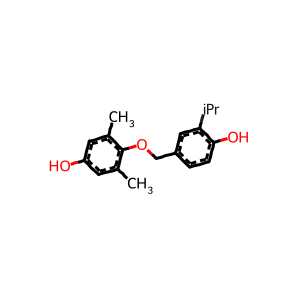 Cc1cc(O)cc(C)c1OCc1ccc(O)c(C(C)C)c1